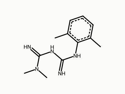 Cc1cccc(C)c1NC(=N)NC(=N)N(C)C